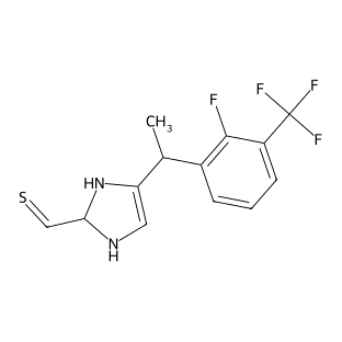 CC(C1=CNC(C=S)N1)c1cccc(C(F)(F)F)c1F